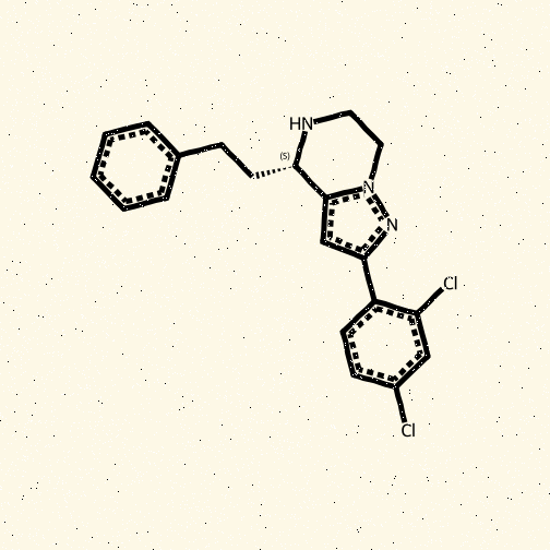 Clc1ccc(-c2cc3n(n2)CCN[C@H]3CCc2ccccc2)c(Cl)c1